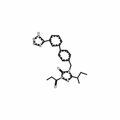 CCC(=O)n1nc(C(C)CC)n(Cc2ccc(-c3cccc(-c4nnn[nH]4)c3)cc2)c1=O